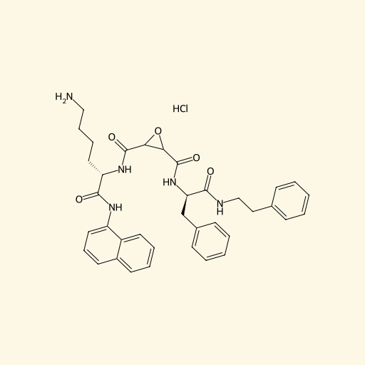 Cl.NCCCC[C@H](NC(=O)C1OC1C(=O)N[C@H](Cc1ccccc1)C(=O)NCCc1ccccc1)C(=O)Nc1cccc2ccccc12